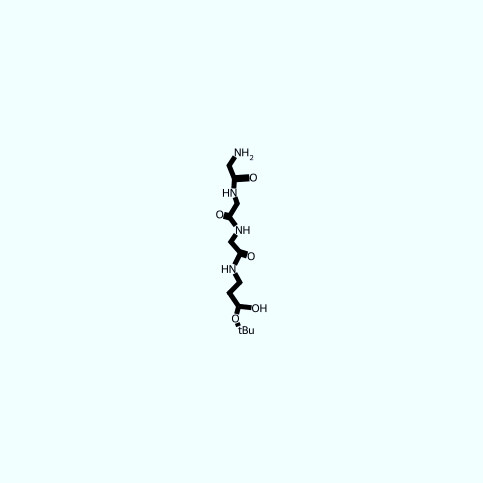 CC(C)(C)OC(O)CCNC(=O)CNC(=O)CNC(=O)CN